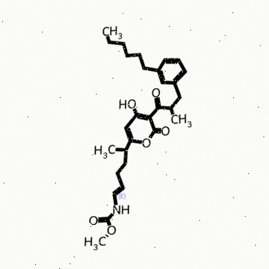 CCCCCCc1cccc(CC(C)C(=O)c2c(O)cc(C(C)CC/C=C/NC(=O)OC)oc2=O)c1